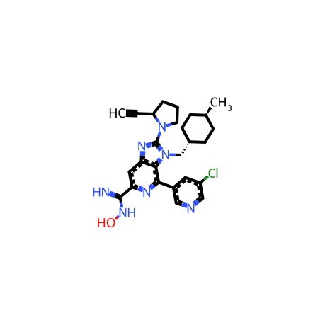 C#CC1CCCN1c1nc2cc(C(=N)NO)nc(-c3cncc(Cl)c3)c2n1C[C@H]1CC[C@H](C)CC1